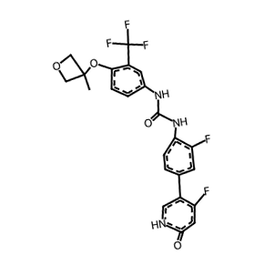 CC1(Oc2ccc(NC(=O)Nc3ccc(-c4c[nH]c(=O)cc4F)cc3F)cc2C(F)(F)F)COC1